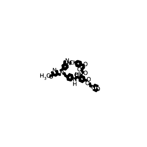 COc1cncc(CN(CCc2ccc(NC(=O)c3ccc(C(=O)OCCN4CCOCC4)cc3NC(=O)c3cc(=O)c4ccccc4o3)cc2)Cc2ccc3c(cnn3C)c2)c1